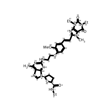 CCNC(=O)[C@@H]1CC[C@H](n2cnc3c(N)nc(NCCOc4ccc(/C=C/c5nc6c(c(=O)n(CC)c(=O)n6CC)n5C)cc4OC)nc32)O1